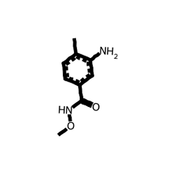 CONC(=O)c1ccc(C)c(N)c1